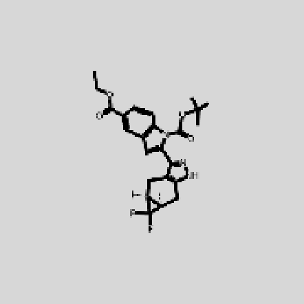 CCOC(=O)c1ccc2c(c1)cc(-c1n[nH]c3c1C[C@@H]1C(F)(F)[C@]1(C)C3)n2C(=O)OC(C)(C)C